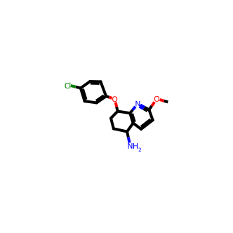 COc1ccc2c(n1)C(Oc1ccc(Cl)cc1)CCC2N